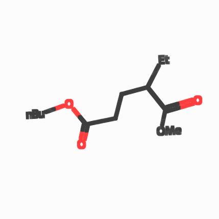 [CH2]CC(CCC(=O)OCCCC)C(=O)OC